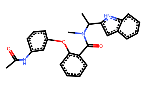 CC(=O)Nc1cccc(Oc2ccccc2C(=O)N(C)C(C)c2cc3ccccc3[nH]2)c1